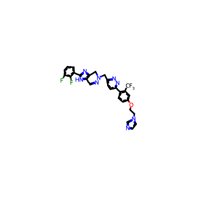 Fc1cccc(-c2nc3c([nH]2)C=NN(Cc2ccc(-c4ccc(OCCn5ccnc5)cc4C(F)(F)F)nn2)C3)c1F